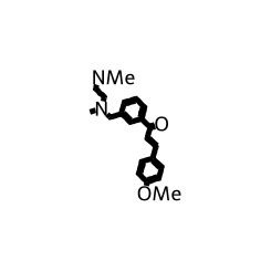 CNCCN(C)Cc1cccc(C(=O)C=Cc2ccc(OC)cc2)c1